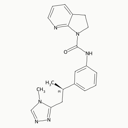 C[C@H](Cc1nncn1C)c1cccc(NC(=O)N2CCc3cccnc32)c1